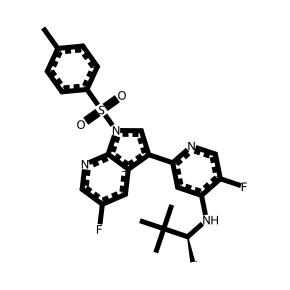 [CH2][C@H](Nc1cc(-c2cn(S(=O)(=O)c3ccc(C)cc3)c3ncc(F)cc23)ncc1F)C(C)(C)C